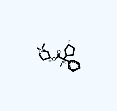 C[C@](C(=O)O[C@@H]1CC[N+](C)(C)C1)(c1ccccc1)C1CCCC1.[I-]